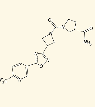 NC(=O)[C@H]1CCN(C(=O)N2CC(c3noc(-c4ccc(C(F)(F)F)nc4)n3)C2)C1